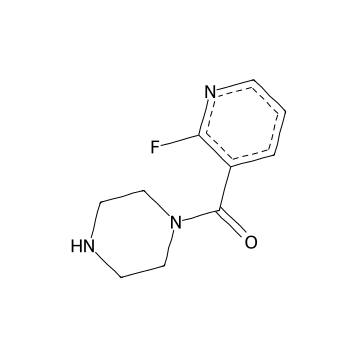 O=C(c1cccnc1F)N1CCNCC1